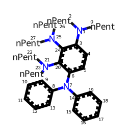 CCCCCN(CCCCC)c1ccc(N(c2ccccc2)c2ccccc2)c(N(CCCCC)CCCCC)c1N(CCCCC)CCCCC